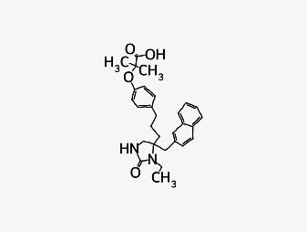 CCN1C(=O)NCC1(CCCc1ccc(OC(C)(C)C(=O)O)cc1)Cc1ccc2ccccc2c1